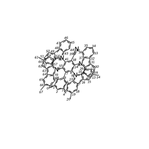 Cc1cc(C)cc(-c2c(-n3c4ccc(C)cc4c4cc(C)ccc43)c(-n3c4ccccc4c4ccccc43)c(C#N)c(-n3c4ccccc4c4ccccc43)c2-n2c3ccc(C)cc3c3cc(C)ccc32)c1